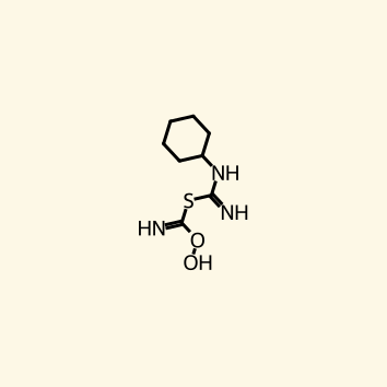 N=C(NC1CCCCC1)SC(=N)OO